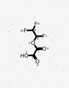 O=C(O)C(=O)OC(F)C(F)F